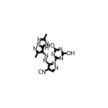 [C-]#[N+]c1cnn(-c2nc(O)nc(O)n2)c1/N=N/c1c(C)nn2nc(C)[nH]c12